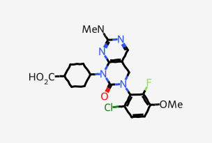 CNc1ncc2c(n1)N(C1CCC(C(=O)O)CC1)C(=O)N(c1c(Cl)ccc(OC)c1F)C2